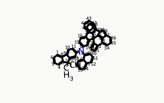 CC1(C)c2ccccc2-c2ccc(N(c3ccc4c(c3)C3(c5ccccc5-4)c4ccccc4-c4cccc5ccc(-c6ccccc6)c3c45)c3cccc4ccccc34)cc21